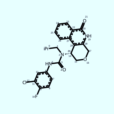 CC(C)CN(C(=O)Nc1ccc(F)c(Cl)c1)[C@H]1COCc2[nH]c(=O)c3ccccc3c21